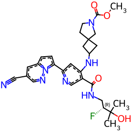 COC(=O)N1CCC2(CC(Nc3cc(-c4ccc5cc(C#N)cnn45)ncc3C(=O)NC[C@@H](F)C(C)(C)O)C2)C1